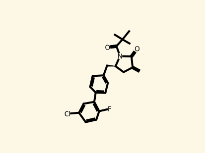 C=C1C[C@@H](Cc2ccc(-c3cc(Cl)ccc3F)cc2)N(C(=O)C(C)(C)C)C1=O